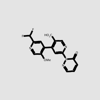 COc1cnc(C(F)F)cc1-c1cc(-n2ncccc2=O)ncc1C(=O)O